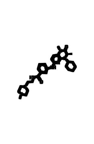 C[C@@H]1C(=O)N(C)c2ccc(Nc3cccc(C(=O)NCCN4CCN(C)CC4)c3)nc2N1C1CCCCC1